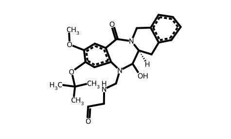 COc1cc2c(cc1OC(C)(C)C)N(CNCC=O)C(O)[C@@H]1Cc3ccccc3CN1C2=O